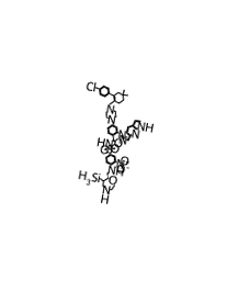 CC1(C)CCC(CN2CCN(c3ccc(C(=O)NS(=O)(=O)c4ccc(NC[C@H]5OCCNCC5[SiH3])c([N+](=O)[O-])c4)c(-n4ncc5nc6[nH]ccc6cc54)c3)CC2)=C(c2ccc(Cl)cc2)C1